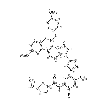 COc1ccc(CN(Cc2ccc(OC)cc2)c2ncnn3c(-c4cnn(-c5cc(NC(=O)N6CCC(OC(F)(F)F)C6)c(F)cc5C)c4)cnc23)cc1